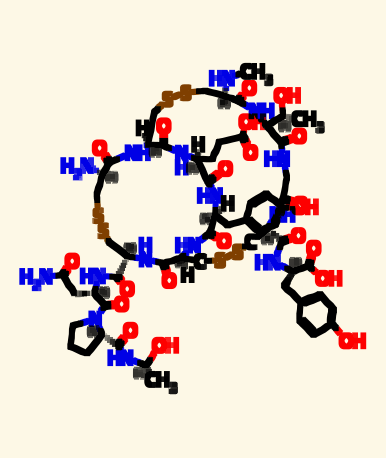 CN[C@H]1CSSC[C@@H]2NC(=O)[C@@H](N)CSSC[C@@H](C(=O)N[C@@H](CC(N)=O)C(=O)N3CCC[C@H]3C(=O)N[C@@H](C)O)NC(=O)[C@H](CSSC[C@@H](C(=O)N[C@H](Cc3ccc(O)cc3)C(=O)O)NC(=O)CNC(=O)C([C@@H](C)O)NC1=O)NC(=O)[C@H](Cc1ccc(O)cc1)NC(=O)[C@H](CCC(=O)O)NC2=O